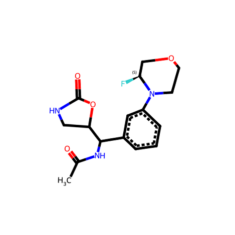 CC(=O)NC(c1cccc(N2CCOC[C@@H]2F)c1)C1CNC(=O)O1